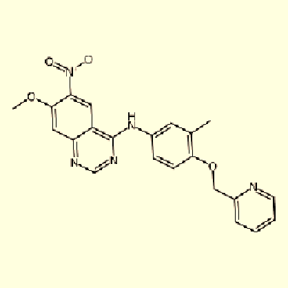 COc1cc2ncnc(Nc3ccc(OCc4ccccn4)c(C)c3)c2cc1[N+](=O)[O-]